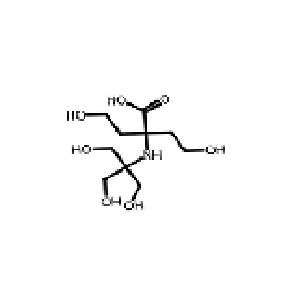 O=C(O)C(CCO)(CCO)NC(CO)(CO)CO